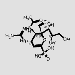 C=C[C@@]1([C@H](O)[C@H](O)CO)OC(P(=O)(O)O)=C[C@H](NC(=N)N)[C@H]1NC(C)=O